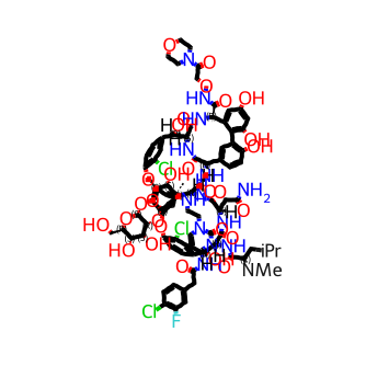 CN[C@H](CC(C)C)C(=O)N[C@H]1C(=O)N[C@@H](CC(N)=O)C(=O)N[C@H]2C(=O)N[C@H]3C(=O)N[C@H](C(=O)N[C@@H](C(=O)NOCC(=O)N4CCOCC4)c4cc(O)cc(O)c4-c4cc3ccc4O)[C@H](O)c3ccc(c(Cl)c3)Oc3cc2cc(c3O[C@@H]2O[C@H](CO)[C@@H](O)[C@H](O)[C@H]2O[C@H]2C[C@](C)(NCCn3ccc(NC(=O)Cc4ccc(Cl)c(F)c4)nc3=O)[C@H](O)[C@H](C)O2)Oc2ccc(cc2Cl)[C@H]1O